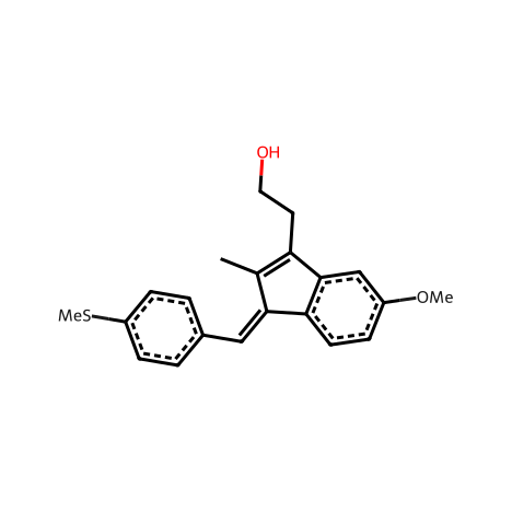 COc1ccc2c(c1)C(CCO)=C(C)C2=Cc1ccc(SC)cc1